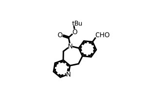 CC(C)(C)OC(=O)N1Cc2cccnc2Cc2ccc(C=O)cc21